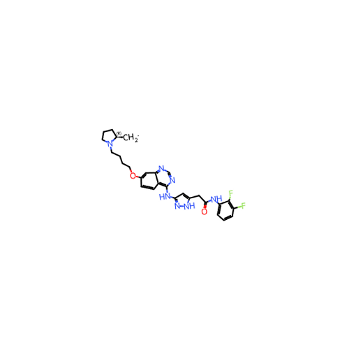 [CH2][C@@H]1CCCN1CCCCOc1ccc2c(Nc3cc(CC(=O)Nc4cccc(F)c4F)[nH]n3)ncnc2c1